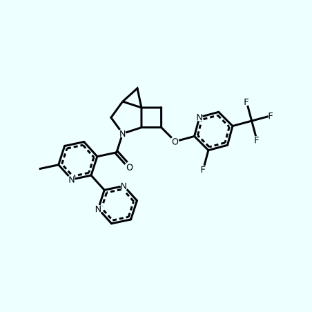 Cc1ccc(C(=O)N2CC3CC34CC(Oc3ncc(C(F)(F)F)cc3F)C24)c(-c2ncccn2)n1